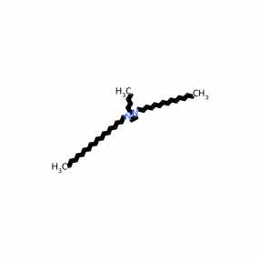 CCCCCCCCCCCCCCCCCCC[n+]1ccn(CCCCCCCCCCCCCCC)c1CCCCC